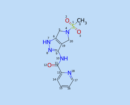 CS(=O)(=O)N1Cc2[nH]nc(NC(=O)c3ccccn3)c2C1